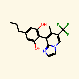 CCCc1cc(O)c(-c2c(C)c(C(F)(F)F)cn3ccnc23)c(O)c1